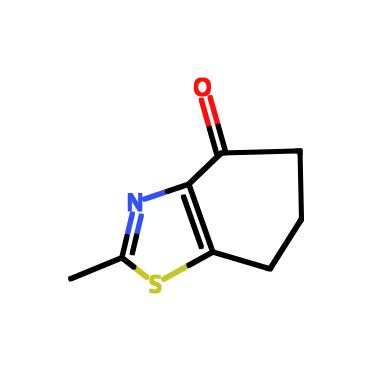 Cc1nc2c(s1)CCCC2=O